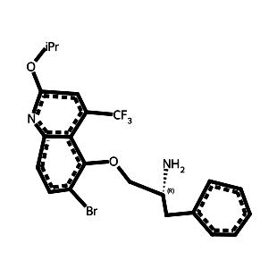 CC(C)Oc1cc(C(F)(F)F)c2c(OC[C@H](N)Cc3ccccc3)c(Br)ccc2n1